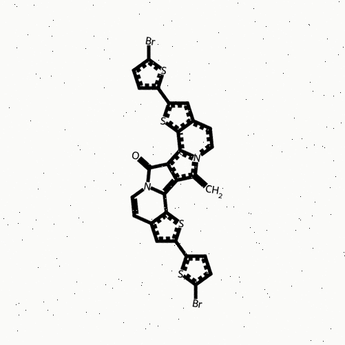 C=c1c2c(c3c4sc(-c5ccc(Br)s5)cc4ccn13)C(=O)N1C=Cc3cc(-c4ccc(Br)s4)sc3C=21